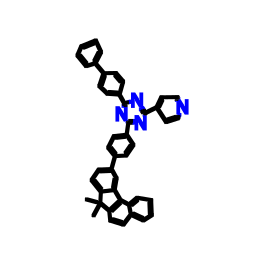 CC1(C)c2ccc(-c3ccc(-c4nc(-c5ccncc5)nc(-c5ccc(-c6ccccc6)cc5)n4)cc3)cc2-c2c1ccc1ccccc21